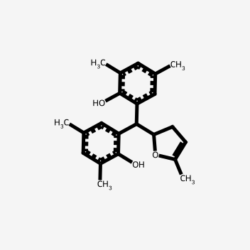 CC1=CCC(C(c2cc(C)cc(C)c2O)c2cc(C)cc(C)c2O)O1